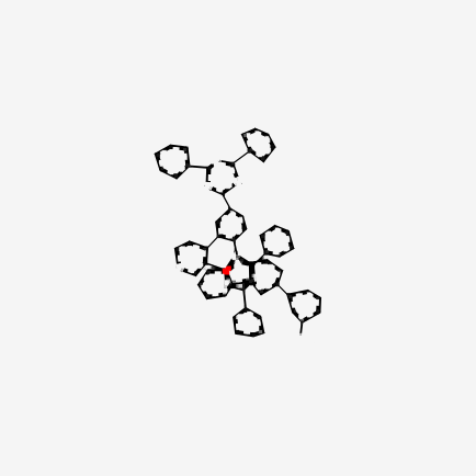 Cc1cccc(-c2ccc3c(c2)c2ccccc2n3-c2ccc(-c3nc(-c4ccccc4)nc(-c4ccccc4)n3)cc2-c2ccncc2-c2nc(-c3ccccc3)nc(-c3ccccc3)n2)c1